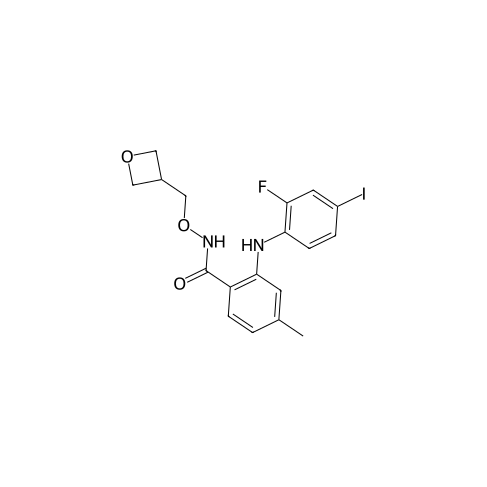 Cc1ccc(C(=O)NOCC2COC2)c(Nc2ccc(I)cc2F)c1